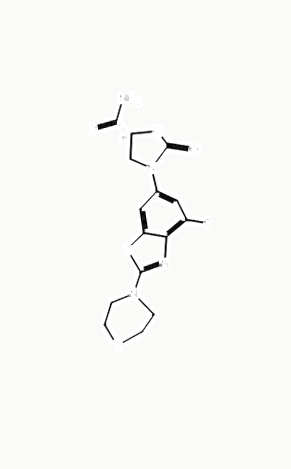 NC(=O)[C@H]1CN(c2cc(F)c3nc(N4CCOCC4)sc3c2)C(=O)O1